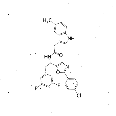 Cc1ccc2[nH]cc(CC(=O)NC(Cc3cc(F)cc(F)c3)c3cnc(-c4ccc(Cl)cc4)o3)c2c1